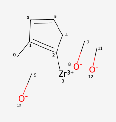 CC1=[C]([Zr+3])CC=C1.C[O-].C[O-].C[O-]